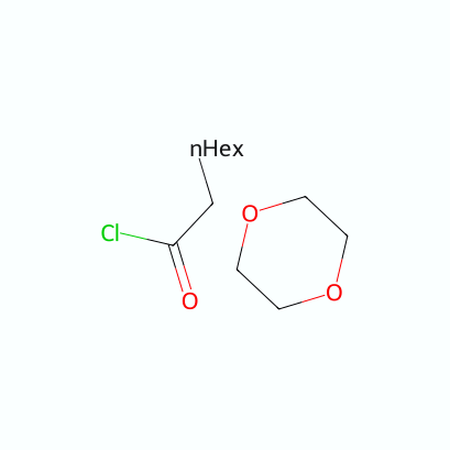 C1COCCO1.CCCCCCCC(=O)Cl